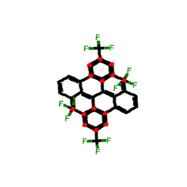 FC(F)(F)c1cc(-c2cccc3cc4ccccc4c(-c4c5ccccc5cc5cccc(-c6cc(C(F)(F)F)cc(C(F)(F)F)c6)c45)c23)cc(C(F)(F)F)c1